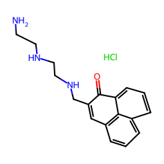 Cl.NCCNCCNCC1=Cc2cccc3cccc(c23)C1=O